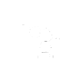 O=C1OCc2cc(O)ccc2-c2cc(F)c(O)cc21